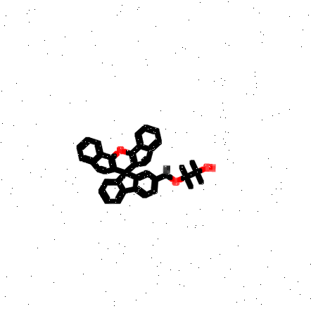 CC(C)(O)C(C)(C)OBc1ccc2c(c1)C1(c3ccccc3-2)c2ccc3ccccc3c2Oc2c1ccc1ccccc21